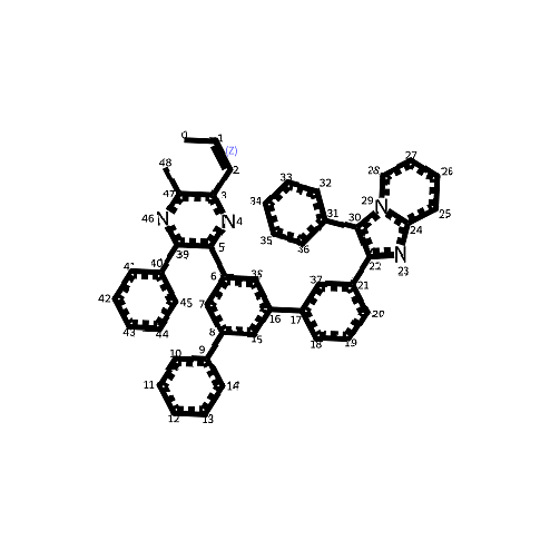 C/C=C\c1nc(-c2cc(-c3ccccc3)cc(-c3cccc(-c4nc5ccccn5c4-c4ccccc4)c3)c2)c(-c2ccccc2)nc1C